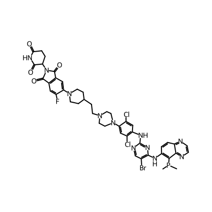 CP(C)c1c(Nc2nc(Nc3cc(Cl)c(N4CCN(CCC5CCN(c6cc7c(cc6F)C(=O)N(C6CCC(=O)NC6=O)C7=O)CC5)CC4)cc3Cl)ncc2Br)ccc2nccnc12